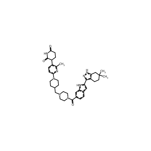 Cc1nc(N2CCC(CN3CCN(C(=O)c4ccc5cc(-c6n[nH]c7c6CCC(C)(C)C7)[nH]c5c4)CC3)CC2)ccc1C1CCC(=O)NC1=O